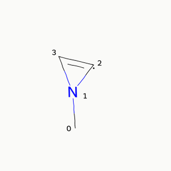 CN1[C]=C1